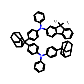 CC1(C)c2ccccc2-c2ccc(N(c3ccccc3)c3ccc(C4(c5ccc(N(c6ccccc6)c6ccc(C78CC9CC(CC(C9)C7)C8)cc6)cc5)C5CC6CC(C5)CC4C6)cc3)cc21